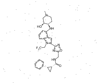 CN1CC[C@@H](Nc2cccc3c2cc(-c2noc(CNC(=O)[C@@H]4C[C@@H]4c4ccccc4)n2)n3CC(F)(F)F)[C@@H](O)C1